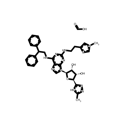 Cc1nnc([C@H]2O[C@@H](n3cnc4c(NCC(c5ccccc5)c5ccccc5)nc(NCCc5cn(C)cn5)nc43)[C@H](O)[C@@H]2O)[nH]1.O=CO